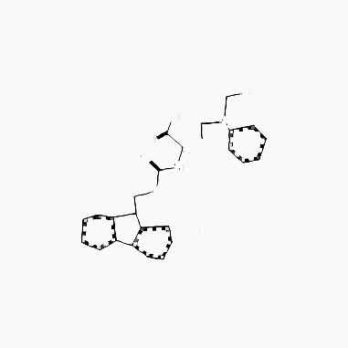 CCN(CC[C@H](NC(=O)OCC1c2ccccc2-c2ccccc21)C(=O)O)c1ccccc1.Cl